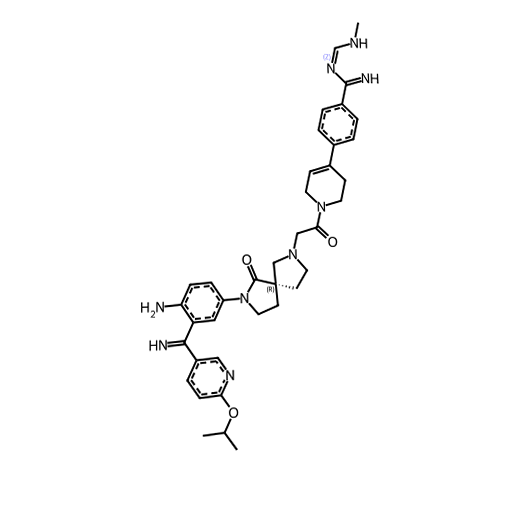 CN/C=N\C(=N)c1ccc(C2=CCN(C(=O)CN3CC[C@@]4(CCN(c5ccc(N)c(C(=N)c6ccc(OC(C)C)nc6)c5)C4=O)C3)CC2)cc1